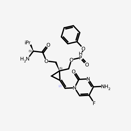 CC(C)[C@H](N)C(=O)OC[C@]1(CO[PH](=O)Oc2ccccc2)C/C1=C/n1cc(F)c(N)nc1=O